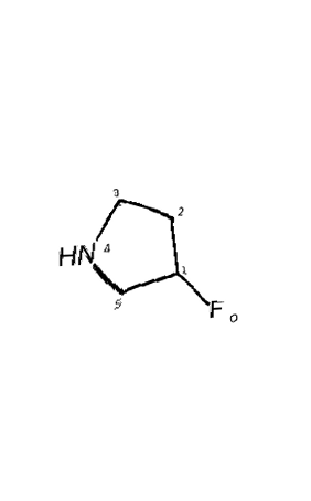 FC1C[CH]NC1